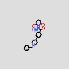 O=C1CCCC(=O)N1n1[nH]c2cc(C3CCN(Cc4ccccc4)CC3)ccc2c1=O